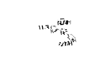 CC(=O)Nc1cc(-c2nc(-c3ccc(N)nc3)c(-c3ncc[nH]3)s2)ccn1